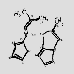 CC1=CC2C=CC=C2S1.C[C](C)=[Zr][C]1=CC=CC1